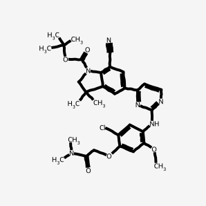 COc1cc(OCC(=O)N(C)C)c(Cl)cc1Nc1nccc(-c2cc(C#N)c3c(c2)C(C)(C)CN3C(=O)OC(C)(C)C)n1